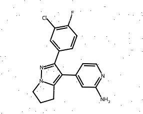 Nc1cc(-c2c(-c3ccc(F)c(Cl)c3)nn3c2CCC3)ccn1